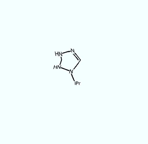 CC(C)N1C=NNN1